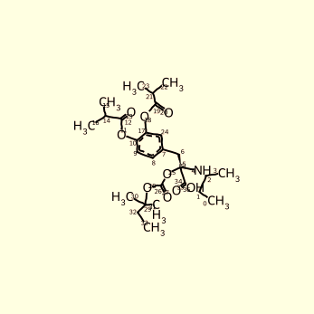 CCC(C)N[C@@](Cc1ccc(OC(=O)C(C)C)c(OC(=O)C(C)C)c1)(OC(=O)OC(C)(C)CC)C(=O)O